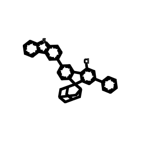 Clc1cc(-c2ccccc2)cc2c1-c1cc(-c3ccc4sc5ccccc5c4c3)ccc1C21C2CC3CC(C2)CC1C3